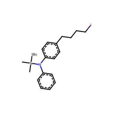 CC(C)(C)[Si](C)(C)N(c1ccccc1)c1ccc(CCCCI)cc1